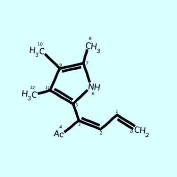 C=C/C=C(/C(C)=O)c1[nH]c(C)c(C)c1C